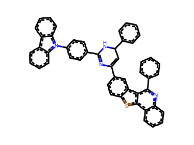 C1=C(c2ccc3sc4c5ccccc5nc(-c5ccccc5)c4c3c2)N=C(c2ccc(-n3c4ccccc4c4ccccc43)cc2)NC1c1ccccc1